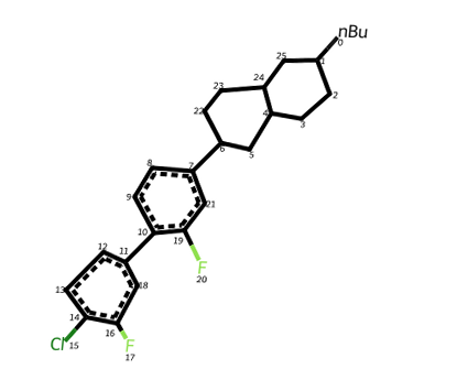 CCCCC1CCC2CC(c3ccc(-c4ccc(Cl)c(F)c4)c(F)c3)CCC2C1